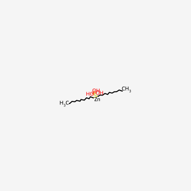 CCCCCCCCCCCCS(CCCCCCCCCCCC)=P(O)(O)O.[Zn]